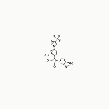 Cc1nc(-n2cnc(C(F)(F)F)c2)ccc1[C@@H]1C(C2CC2)C(=O)N1c1ccc2[nH]cnc2c1